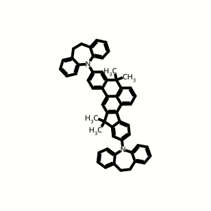 CC1(C)c2cc(N3c4ccccc4CCc4ccccc43)ccc2-c2c1cc1c3c(cccc23)C(C)(C)c2cc(N3c4ccccc4CCc4ccccc43)ccc2-1